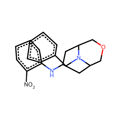 O=[N+]([O-])c1ccccc1NC1CC2COCC(C1)N2Cc1ccccc1